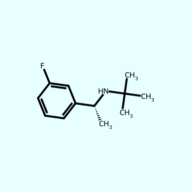 C[C@@H](NC(C)(C)C)c1cccc(F)c1